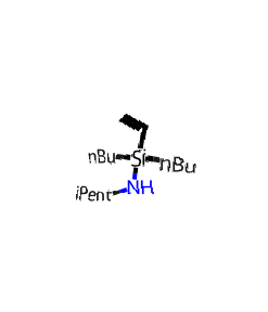 C=C[Si](CCCC)(CCCC)NC(C)CCC